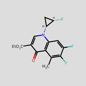 CCOC(=O)c1cn([C@@H]2C[C@@H]2F)c2cc(F)c(F)c(C)c2c1=O